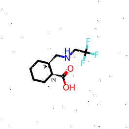 O=C(O)[C@H]1CCCC[C@H]1CNCC(F)(F)F